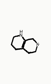 C1CNC2=C(C1)CC[N]C2